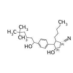 CCCCCC1C(c2ccc(C(O)CCCC(C)(C)C)cc2)[C@H](O)C[C@H]1C#N